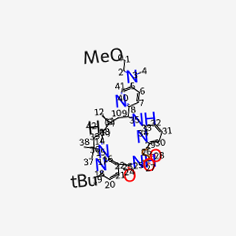 COCCN(C)c1ccc(C2C[C@H](C)[C@@H]3CN(c4nc(C(C)(C)C)ccc4C(=O)NS(=O)(=O)c4cccc(n4)N2)C(C)(C)C3)nc1